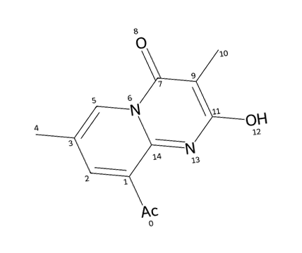 CC(=O)c1cc(C)cn2c(=O)c(C)c(O)nc12